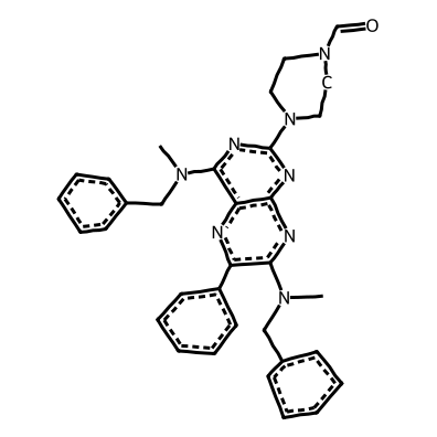 CN(Cc1ccccc1)c1nc2nc(N3CCN(C=O)CC3)nc(N(C)Cc3ccccc3)c2nc1-c1ccccc1